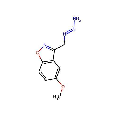 COc1ccc2onc(CN=NN)c2c1